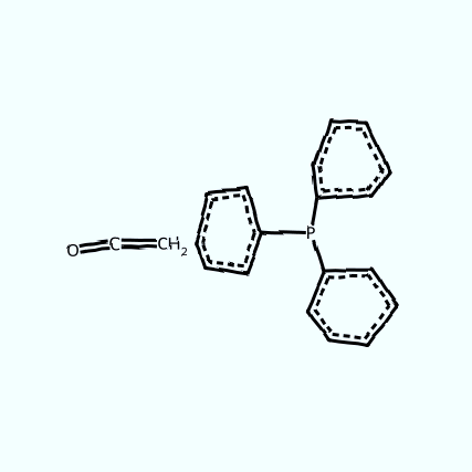 C=C=O.c1ccc(P(c2ccccc2)c2ccccc2)cc1